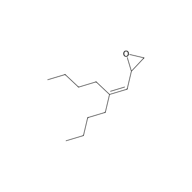 CCCCC(=CC1CO1)CCCC